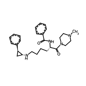 CN1CCN(C(=O)[C@H](CCCCN[C@@H]2C[C@H]2c2ccccc2)NC(=O)c2ccccc2)CC1